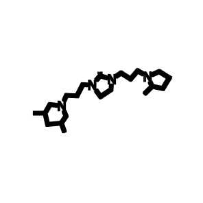 CC1CC(C)CN(CCCN2[C]N(CCCN3CCCC3C)CC2)C1